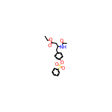 CCOC(=O)CC(Cc1ccc(OS(=O)(=O)c2ccccc2)cc1)NC(C)=O